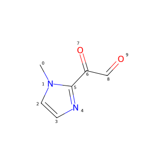 Cn1ccnc1C(=O)C=O